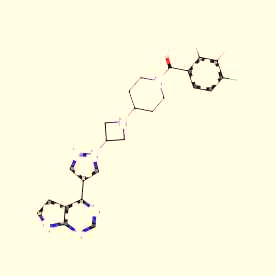 O=C(c1ccc(F)c(F)c1F)N1CCC(N2C[C](n3cc(-c4ncnc5[nH]ccc45)cn3)C2)CC1